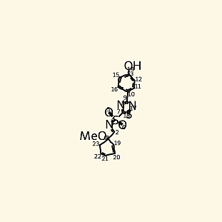 COC1(C=NS(=O)(=O)c2nc(-c3ccc(O)cc3)ns2)C=CC=CC1